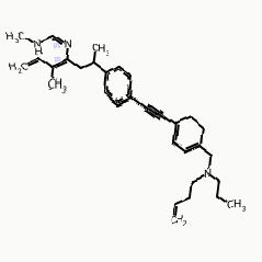 C=CCCN(CCC)CC1=CC=C(C#Cc2ccc(C(C)CC(/N=C\NC)=C(\C)C=C)cc2)CC1